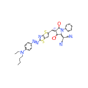 CCCCN(CC)c1ccc(/N=N/c2nc3sc(/C=C4\C(=O)C(=C(C#N)C#N)N(c5ccccc5)C4=O)cc3s2)cc1